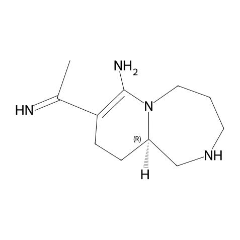 CC(=N)C1=C(N)N2CCCNC[C@H]2CC1